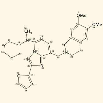 COc1cc2c(cc1OC)CN(Cc1cnc(N(C)C3CCCCC3)n3nc(-c4ccco4)nc13)CC2